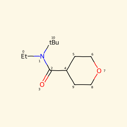 CCN(C(=O)C1CCOCC1)C(C)(C)C